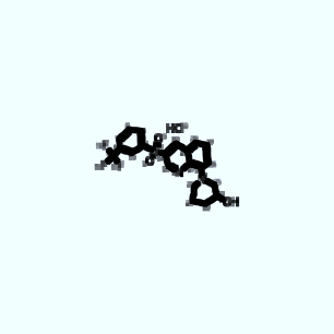 Cl.O=S(=O)(c1cccc(C(F)(F)F)c1)c1cnc2c(N3CCCC(O)C3)cccc2c1